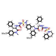 COc1ccc(N(C)C(=O)C(Cc2ccccc2)NC(=O)NS(=O)(=O)N(C)c2cccc(CN(C(=O)[C@H](Cc3ccccc3)NC(=O)NS(=O)(=O)N3CCCc4ccccc43)c3ccc(OC)cc3)c2)cc1